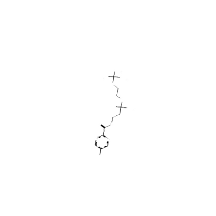 Cc1cnc(C(=O)NCCC(C)(C)OCCOC(C)(C)C)nc1